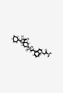 CN(C)C(=O)Cn1ccc2c(C=CS(=O)(=O)N3CCC4(CC3)N=C(C3CCCCC3)NC4=O)cccc21